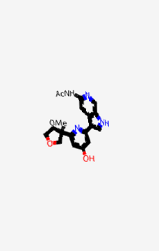 COC1(c2cc(O)cc(-c3c[nH]c4cnc(NC(C)=O)cc34)n2)CCOC1